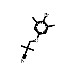 Cc1cc(OCC(C)(C)C#N)cc(C)c1Br